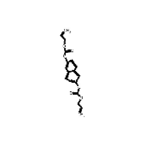 C=CCOC(=O)Oc1ccc2cc(OC(=O)OCC=C)ccc2c1